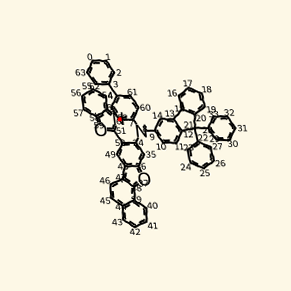 c1ccc(-c2ccc(N(c3ccc4c(c3)-c3ccccc3C4(c3ccccc3)c3ccccc3)c3cc4oc5c6ccccc6ccc5c4cc3-c3nc4ccccc4o3)cc2)cc1